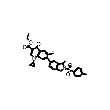 CCOC(=O)c1cn(C2CC2)c2cc(-c3ccc4c(c3)C(C)N(S(=O)(=O)c3ccc(C)cc3)C4)c(F)cc2c1=O